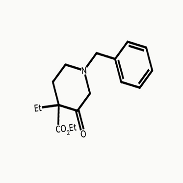 CCOC(=O)C1(CC)CCN(Cc2ccccc2)CC1=O